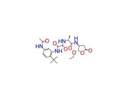 CCO[C@H]1OC(=O)C[C@@H]1NC(=O)[C@H](C)NC(=O)C(=O)Nc1cc(NC(C)=O)ccc1C(C)(C)C